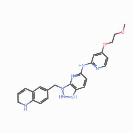 COCCOc1ccnc(Nc2ccc3c(n2)N(Cc2ccc4c(c2)C=CCN4)NN3)c1